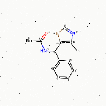 CC[C@H](C)C(=O)NC(c1ccccc1)c1scnc1C